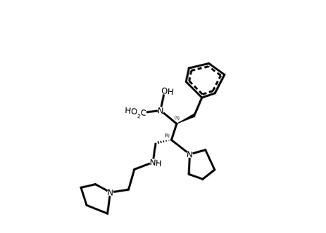 O=C(O)N(O)[C@@H](Cc1ccccc1)[C@@H](CNCCN1CCCC1)N1CCCC1